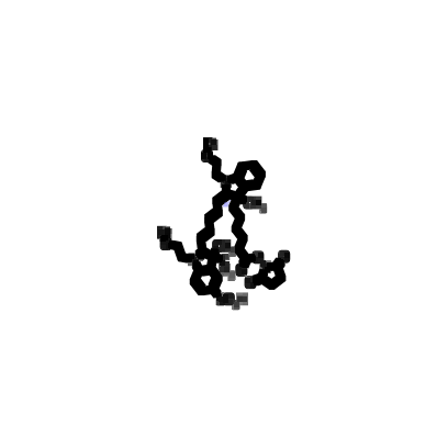 CCOCCN1/C(=C/C=CC=CC2=[N+](CCOCC)c3ccc(S(=O)(=O)O)cc3C2(C)C)C(C)(CCCCCC(=O)ON2C(=O)CCC2=O)c2ccccc21